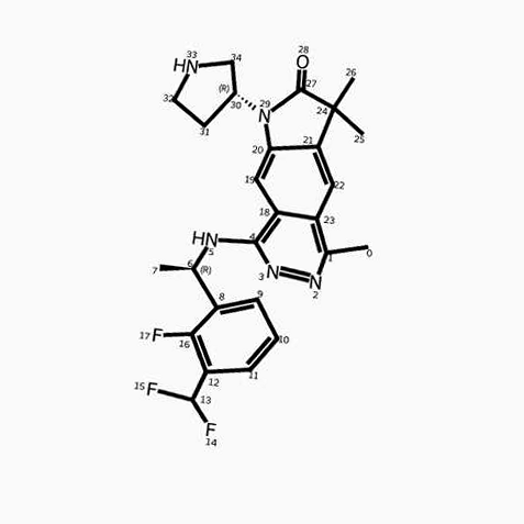 Cc1nnc(N[C@H](C)c2cccc(C(F)F)c2F)c2cc3c(cc12)C(C)(C)C(=O)N3[C@@H]1CCNC1